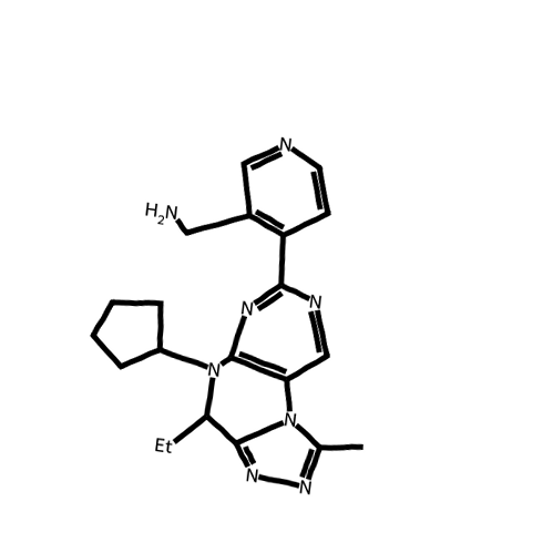 CCC1c2nnc(C)n2-c2cnc(-c3ccncc3CN)nc2N1C1CCCC1